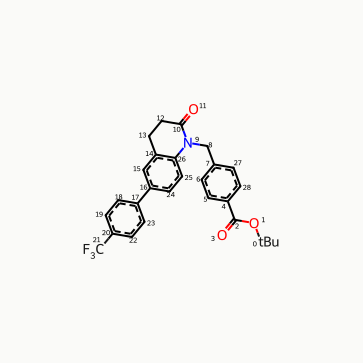 CC(C)(C)OC(=O)c1ccc(CN2C(=O)CCc3cc(-c4ccc(C(F)(F)F)cc4)ccc32)cc1